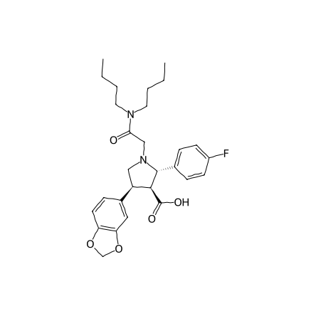 CCCCN(CCCC)C(=O)CN1C[C@H](c2ccc3c(c2)OCO3)[C@H](C(=O)O)[C@H]1c1ccc(F)cc1